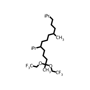 CC(C)CCCC(C)CCCC(CCCC(C)(OCC(F)(F)F)OCC(F)(F)F)C(C)C